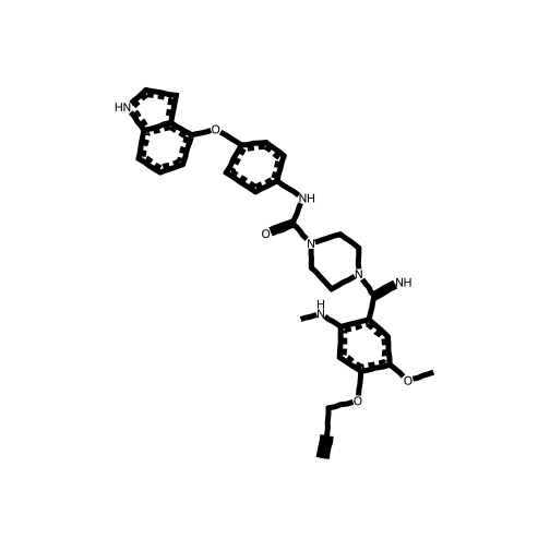 C#CCOc1cc(NC)c(C(=N)N2CCN(C(=O)Nc3ccc(Oc4cccc5[nH]ccc45)cc3)CC2)cc1OC